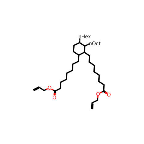 C=CCOC(=O)CCCCCCCC1CCC(CCCCCC)C(CCCCCCCC)C1CCCCCCCC(=O)OCC=C